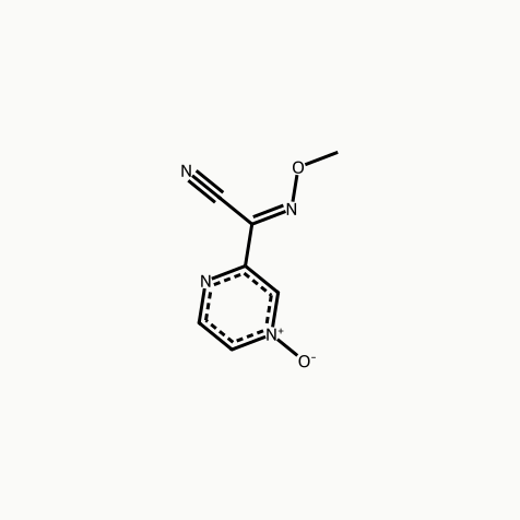 CO/N=C(\C#N)c1c[n+]([O-])ccn1